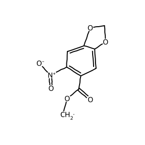 [CH2]OC(=O)c1cc2c(cc1[N+](=O)[O-])OCO2